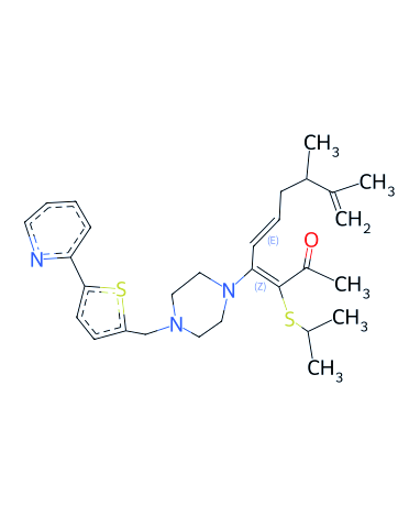 C=C(C)C(C)C/C=C/C(=C(/SC(C)C)C(C)=O)N1CCN(Cc2ccc(-c3ccccn3)s2)CC1